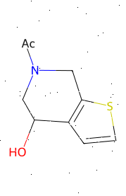 CC(=O)N1Cc2sccc2C(O)C1